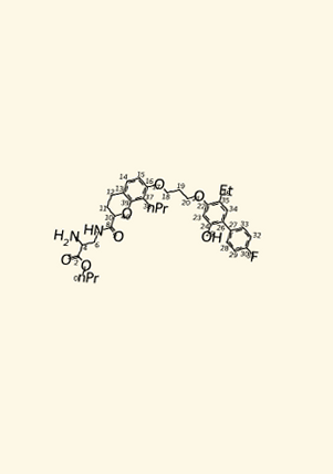 CCCOC(=O)C(N)CNC(=O)C1CCc2ccc(OCCCOc3cc(O)c(-c4ccc(F)cc4)cc3CC)c(CCC)c2O1